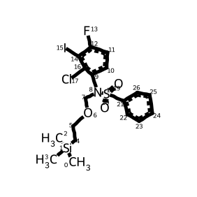 C[Si](C)(C)CCOCN(c1ccc(F)c(I)c1Cl)S(=O)(=O)c1ccccc1